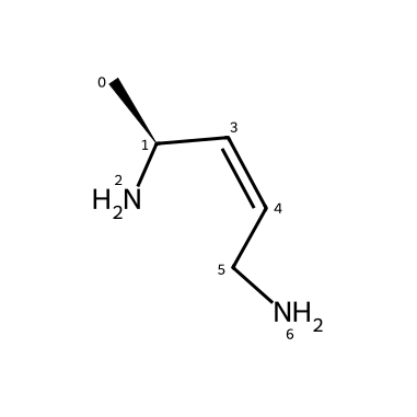 C[C@H](N)/C=C\CN